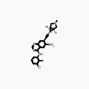 CN1C[C@@H]2[C@H](C#Cc3cc4ncnc(Nc5cccc(Cl)c5F)c4cc3[N+](=O)[O-])[C@@H]2C1